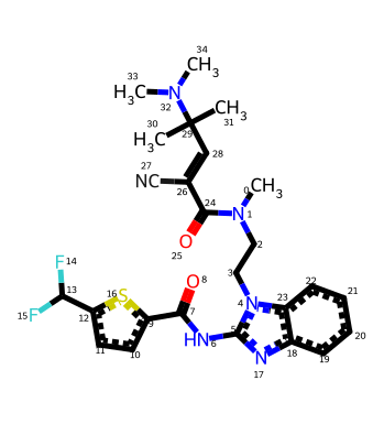 CN(CCn1c(NC(=O)c2ccc(C(F)F)s2)nc2ccccc21)C(=O)C(C#N)=CC(C)(C)N(C)C